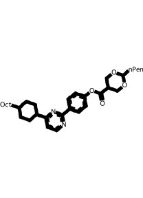 CCCCCCCCC1CCC(c2ccnc(-c3ccc(OC(=O)C4COC(CCCCC)OC4)cc3)n2)CC1